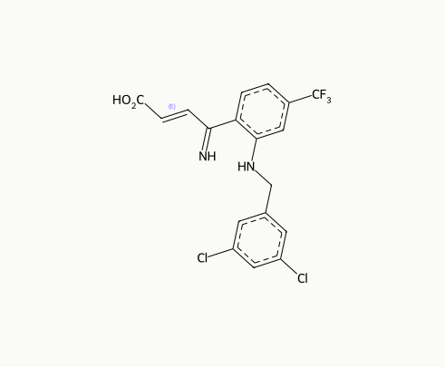 N=C(/C=C/C(=O)O)c1ccc(C(F)(F)F)cc1NCc1cc(Cl)cc(Cl)c1